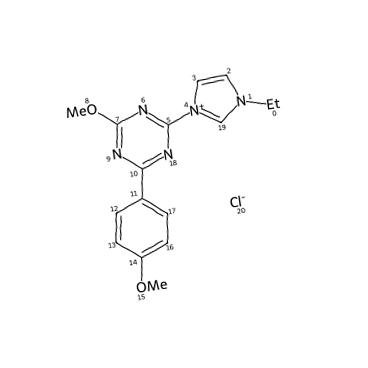 CCn1cc[n+](-c2nc(OC)nc(-c3ccc(OC)cc3)n2)c1.[Cl-]